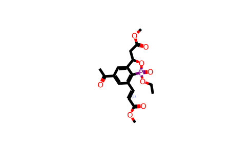 CCOP1(=O)OC(CC(=O)OC)c2cc(C(C)=O)cc(/C=C/C(=O)OC)c21